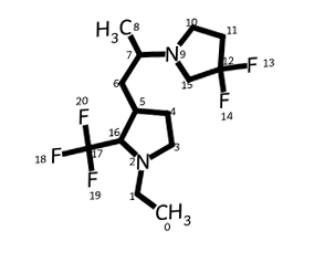 CCN1CCC(CC(C)N2CCC(F)(F)C2)C1C(F)(F)F